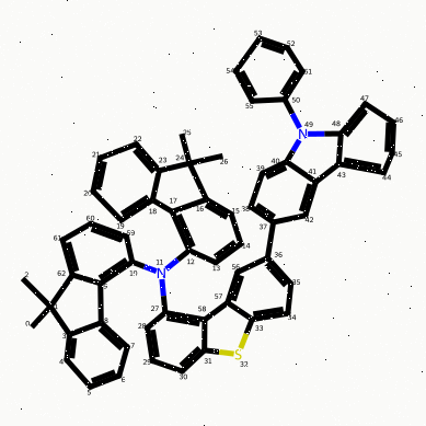 CC1(C)c2ccccc2-c2c(N(c3cccc4c3-c3ccccc3C4(C)C)c3cccc4sc5ccc(-c6ccc7c(c6)c6ccccc6n7-c6ccccc6)cc5c34)cccc21